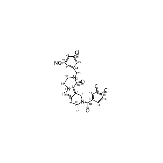 C[C@@H]1Cc2nn3c(c2CN1C(=O)c1ccc(Cl)c(Cl)c1)C(=O)N(Cc1cc(Cl)cc(C#N)c1)CC3